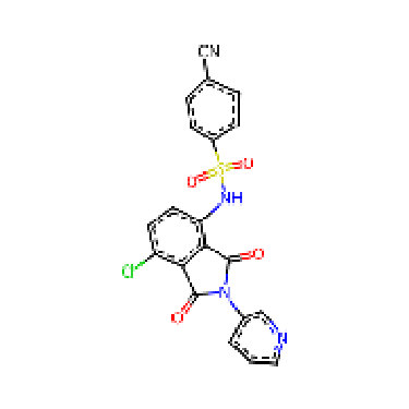 N#Cc1ccc(S(=O)(=O)Nc2ccc(Cl)c3c2C(=O)N(c2cccnc2)C3=O)cc1